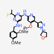 COc1ccc(CNc2cc(Nc3cc(OC(C)C)c(-c4cnn([C@H]5CCOC5)c4)cn3)nc(C(C)F)n2)c(OC)c1